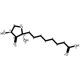 O=C(O)CCCCCCC[C@]1(O)OC[C@H](O)C1=O